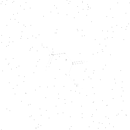 NOC(=O)CC(=O)O